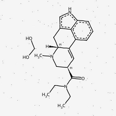 CCN(CC)C(=O)[C@@H]1C=C2c3cccc4[nH]cc(c34)C[C@H]2N(C)C1.O[CH]O